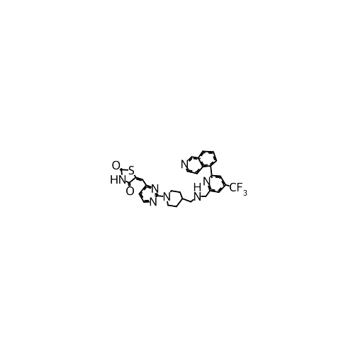 O=C1NC(=O)/C(=C\c2ccnc(N3CCC(CNCc4cc(C(F)(F)F)cc(-c5cccc6cnccc56)n4)CC3)n2)S1